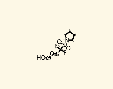 O=S(=O)(N1CCCC1)C(F)(F)SOOO